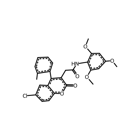 COc1cc(OC)c(NC(=O)Cc2c(-c3ccccc3C)c3cc(Cl)ccc3oc2=O)c(OC)c1